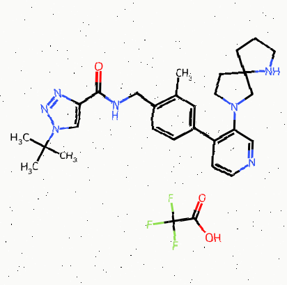 Cc1cc(-c2ccncc2N2CCC3(CCCN3)C2)ccc1CNC(=O)c1cn(C(C)(C)C)nn1.O=C(O)C(F)(F)F